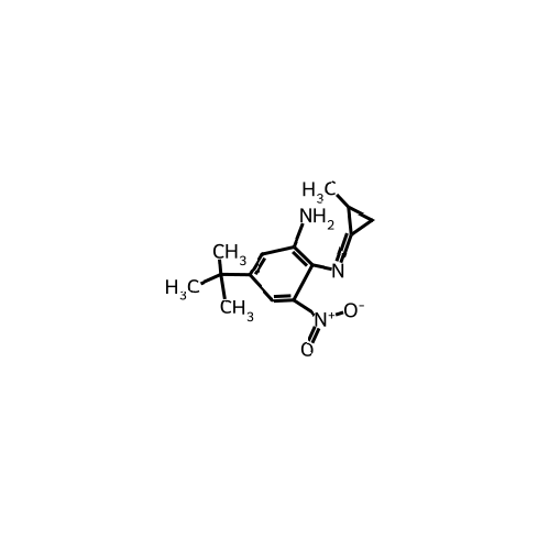 CC1CC1=Nc1c(N)cc(C(C)(C)C)cc1[N+](=O)[O-]